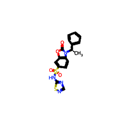 C[C@@H](c1ccccc1)n1c(=O)oc2cc(S(=O)(=O)Nc3ncns3)ccc21